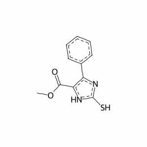 COC(=O)c1[nH]c(S)nc1-c1ccccc1